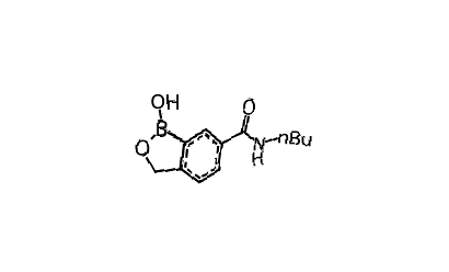 CCCCNC(=O)c1ccc2c(c1)B(O)OC2